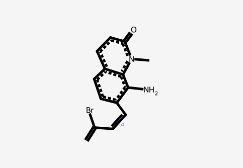 C=C(Br)/C=C\c1ccc2ccc(=O)n(C)c2c1N